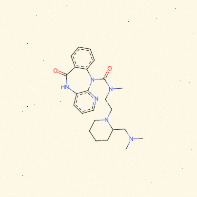 CN(C)CC1CCCCN1CCN(C)C(=O)N1c2ccccc2C(=O)Nc2cccnc21